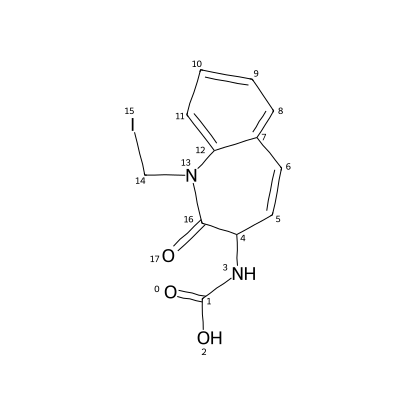 O=C(O)NC1C=Cc2ccccc2N(CI)C1=O